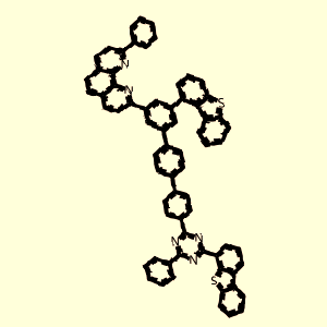 c1ccc(-c2ccc3ccc4ccc(-c5cc(-c6ccc(-c7ccc(-c8nc(-c9ccccc9)nc(-c9cccc%10c9sc9ccccc9%10)n8)cc7)cc6)cc(-c6cccc7sc8ccccc8c67)c5)nc4c3n2)cc1